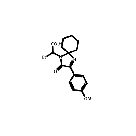 CCC(C(=O)O)N1C(=O)C(c2ccc(OC)cc2)=NC12CCCCC2